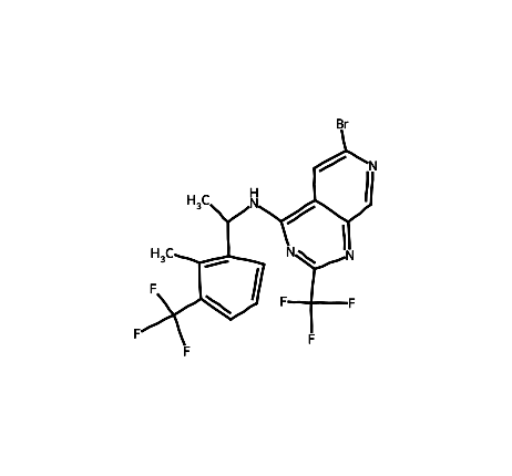 Cc1c(C(C)Nc2nc(C(F)(F)F)nc3cnc(Br)cc23)cccc1C(F)(F)F